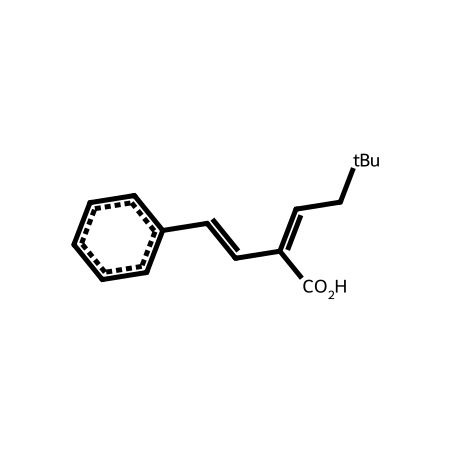 CC(C)(C)CC=C(C=Cc1ccccc1)C(=O)O